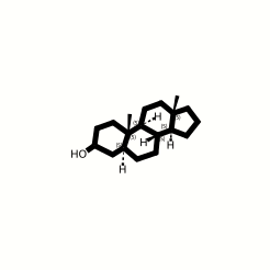 C[C@@]12CCC[C@H]1[C@@H]1CC[C@H]3CC(O)CC[C@]3(C)[C@H]1CC2